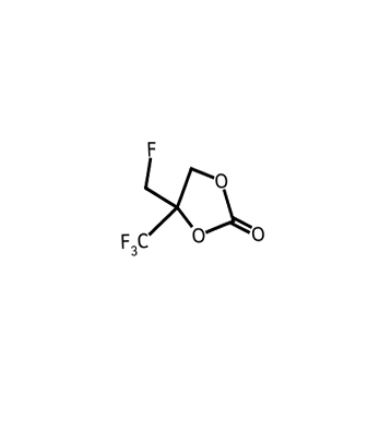 O=C1OCC(CF)(C(F)(F)F)O1